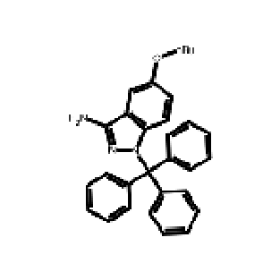 CCCCOc1ccc2c(c1)c(N)nn2C(c1ccccc1)(c1ccccc1)c1ccccc1